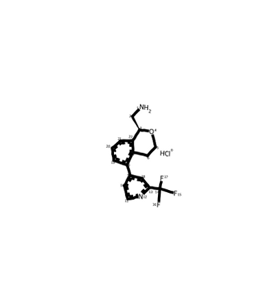 Cl.NC[C@H]1OCCc2c(-c3ccnc(C(F)(F)F)c3)cccc21